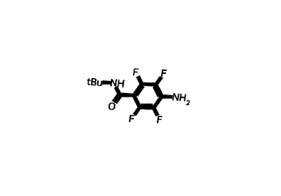 CC(C)(C)NC(=O)c1c(F)c(F)c(N)c(F)c1F